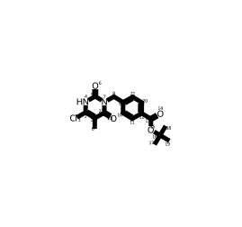 Cc1c(Cl)[nH]c(=O)n(Cc2ccc(C(=O)OC(C)(C)C)cc2)c1=O